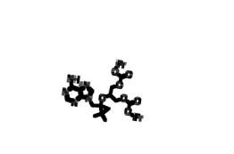 CC(C)OC(=O)OCC(COC(=O)OC(C)C)OC1(Cn2cnc3c(N)ncnc32)CC1(C)C